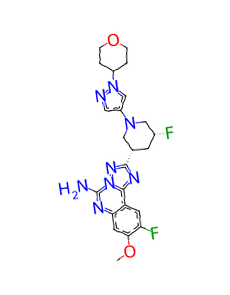 COc1cc2nc(N)n3nc([C@H]4C[C@@H](F)CN(c5cnn(C6CCOCC6)c5)C4)nc3c2cc1F